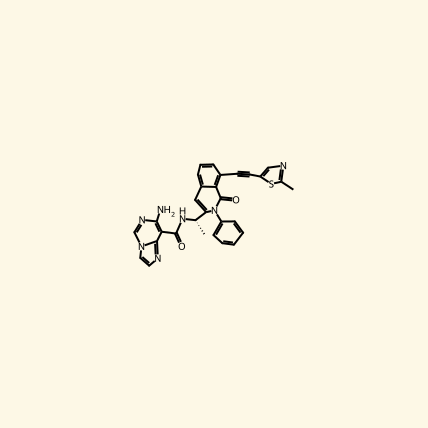 Cc1ncc(C#Cc2cccc3cc([C@H](C)NC(=O)c4c(N)ncn5ccnc45)n(-c4ccccc4)c(=O)c23)s1